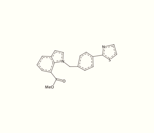 COC(=O)c1cccc2ccn(Cc3ccc(-c4nccs4)cc3)c12